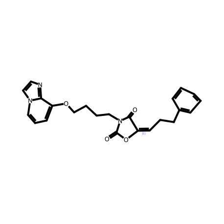 O=C1O/C(=C/CCc2ccccc2)C(=O)N1CCCCOc1cccn2ccnc12